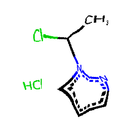 CC(Cl)n1cccn1.Cl